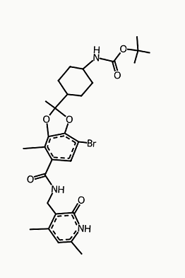 Cc1cc(C)c(CNC(=O)c2cc(Br)c3c(c2C)OC(C)(C2CCC(NC(=O)OC(C)(C)C)CC2)O3)c(=O)[nH]1